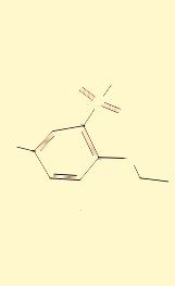 CCOc1ccc(Br)cc1S(=O)(=O)O.Cl